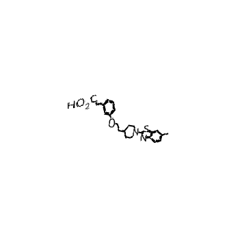 Cc1ccc2nc(N3CCC(CCOc4cccc(CC(=O)O)c4)CC3)sc2c1